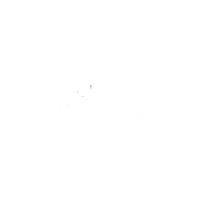 C[Si](Cl)(Cl)CCC=O